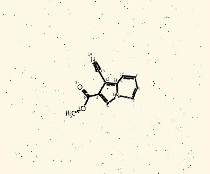 COC(=O)c1cn2ccccc2c1C#N